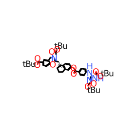 CC(C)(C)OC(=O)CN(Cc1cccc(C(=O)OC(C)(C)C)c1)C(=O)C[C@H]1CCCc2cc(OC(=O)c3ccc(NC(=NC(=O)OC(C)(C)C)NC(=O)OC(C)(C)C)cc3)ccc21